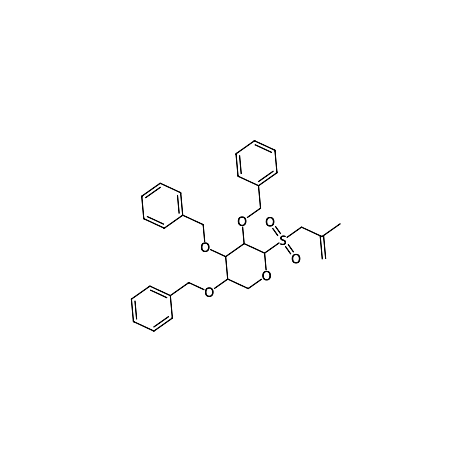 C=C(C)CS(=O)(=O)C1OCC(OCc2ccccc2)C(OCc2ccccc2)C1OCc1ccccc1